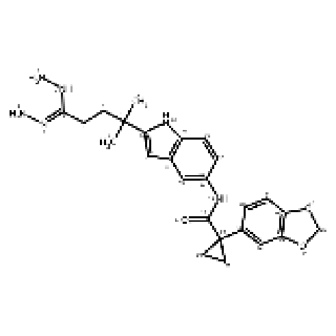 CC(C)(CC/C(=N/N)NN)c1cc2cc(NC(=O)C3(c4ccc5c(c4)OCO5)CC3)ccc2[nH]1